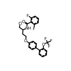 O=C(NC(CCl)CCOc1ccc(-c2ccccc2OC(F)(F)F)cc1)c1c(F)cccc1F